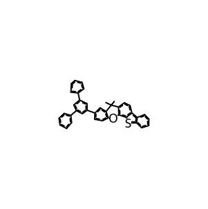 CC1(C)c2cc(-c3cc(-c4ccccc4)cc(-c4ccccc4)c3)ccc2Oc2c1ccc1c2sc2ccccc21